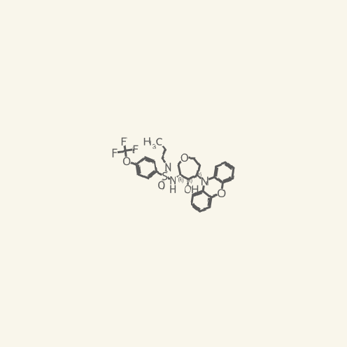 CCCN=S(=O)(N[C@@H]1COCC[C@@H](N2c3ccccc3Oc3ccccc32)[C@H]1O)c1ccc(OC(F)(F)F)cc1